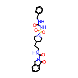 O=C(NCc1ccccc1)NS(=O)(=O)N1CCC(CCNC(=O)N2Cc3ccccc3C2=O)CC1